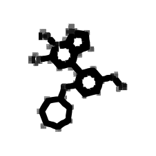 CCSc1ccc(OC2CCCCCC2)c(-c2cc(C)[n+](O)c3[nH]ccc23)c1